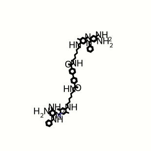 C=C1C=C(NCCCCCCNC(=O)c2ccc(-c3ccc(C(=O)NCCCCCCNc4cc5c(cc4C)nc4cc(N)c(N)cc4[n+]5-c4ccccc4)cc3)cc2)C(C)=C/C1=N/c1cc(N)c(N)cc1Nc1ccccc1